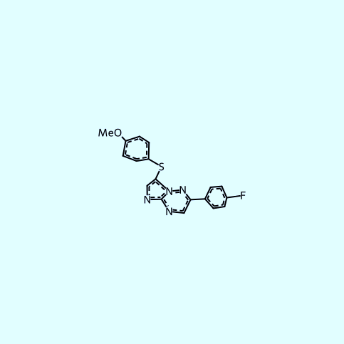 COc1ccc(Sc2cnc3ncc(-c4ccc(F)cc4)nn23)cc1